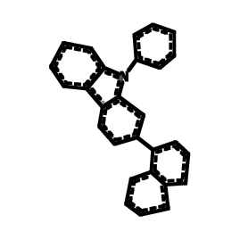 c1ccc(-n2c3ccccc3c3ccc(-c4cccc5ccccc45)cc32)cc1